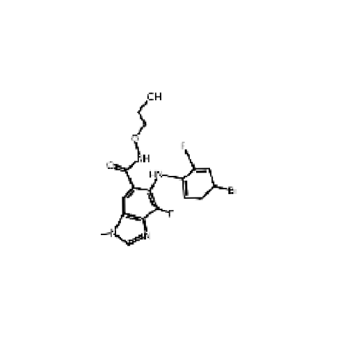 Cn1cnc2c(F)c(NC3=CCC(Br)C=C3F)c(C(=O)NOCCO)cc21